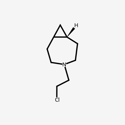 ClCCN1CCC2C[C@@H]2CC1